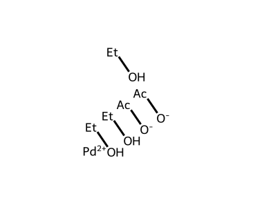 CC(=O)[O-].CC(=O)[O-].CCO.CCO.CCO.[Pd+2]